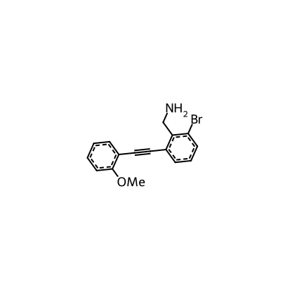 COc1ccccc1C#Cc1cccc(Br)c1CN